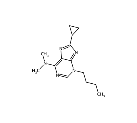 CCCCn1cnc(N(C)C)c2nc(C3CC3)nc1-2